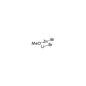 C[O][Zn][Br].[Li][Br]